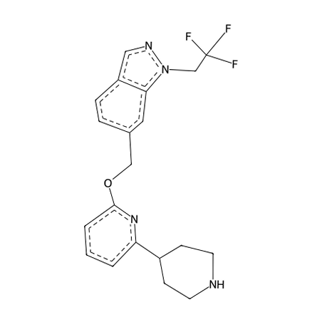 FC(F)(F)Cn1ncc2ccc(COc3cccc(C4CCNCC4)n3)cc21